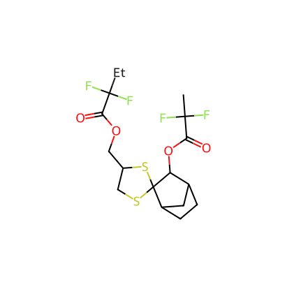 CCC(F)(F)C(=O)OCC1CSC2(S1)C1CCC(C1)C2OC(=O)C(C)(F)F